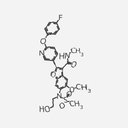 CNC(=O)c1c(-c2ccc(Oc3ccc(F)cc3)nc2)oc2cc(N(CCO)S(C)(=O)=O)c(OC)cc12